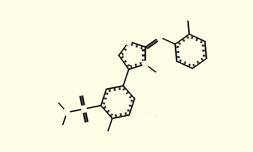 Br.CN(C)S(=O)(=O)c1cc(-c2csc(=Nc3ccccc3Cl)n2C)ccc1Cl